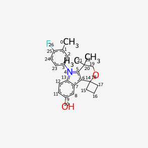 Cc1cc(-n2c3c(c4cc(O)ccc42)C2(CCC2)OCC3(C)C)ccc1F